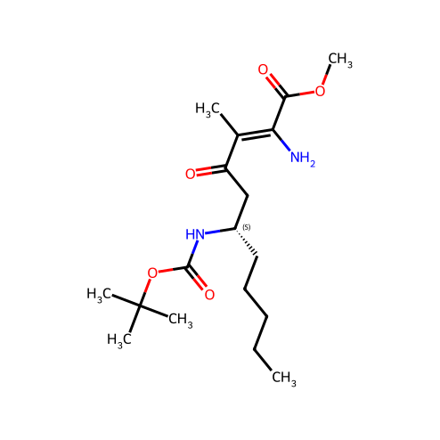 CCCCC[C@@H](CC(=O)C(C)=C(N)C(=O)OC)NC(=O)OC(C)(C)C